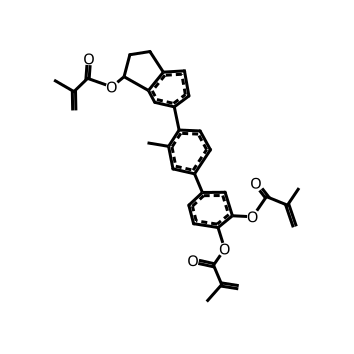 C=C(C)C(=O)Oc1ccc(-c2ccc(-c3ccc4c(c3)C(OC(=O)C(=C)C)CC4)c(C)c2)cc1OC(=O)C(=C)C